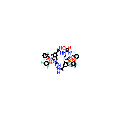 CN(C)C1=C(NCCN(Cc2cc(C3CC3Nc3ncc(N(Cc4cc(C5CC5)cc(C(C)(C)C)c4)C(=O)CN(Cc4ccccc4F)S(=O)(=O)c4c(F)c(F)c(F)c(F)c4F)cn3)cc(C(C)(C)C)c2)C(=O)CN(Cc2ccccc2F)S(=O)(=O)c2c(F)c(F)c(F)c(F)c2F)C(O)C1=O